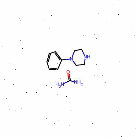 NC(N)=O.c1ccc(N2CCNCC2)cc1